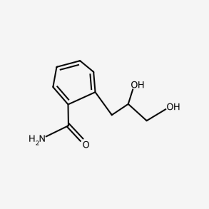 NC(=O)c1ccccc1CC(O)CO